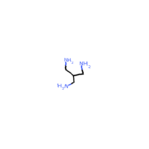 NCC(CN)CN